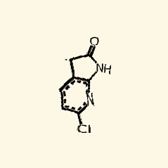 O=C1[CH]c2ccc(Cl)nc2N1